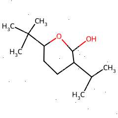 CC(C)C1CCC(C(C)(C)C)OC1O